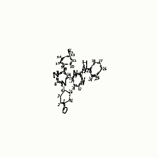 O=C1CCC(n2cnc(-c3ccc(F)cc3)c2-c2ccnc(Nc3ccccc3)n2)CC1